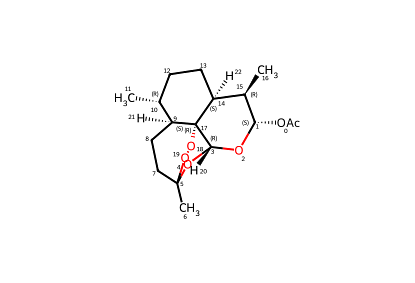 CC(=O)O[C@@H]1O[C@@H]2OC3(C)CC[C@H]4[C@H](C)CC[C@@H]([C@H]1C)[C@@]24OO3